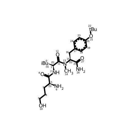 CC[C@H](C)[C@H](NC(=O)[C@@H](N)CCCO)C(=O)N(C)[C@@H](Cc1ccc(OC(C)(C)C)cc1)C(N)=O